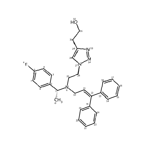 C[C@H](c1ccc(F)cc1)N(CC=C(c1ccccc1)c1ccccc1)CCn1cc(CCO)nn1